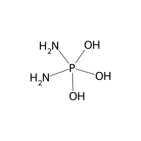 NP(N)(O)(O)O